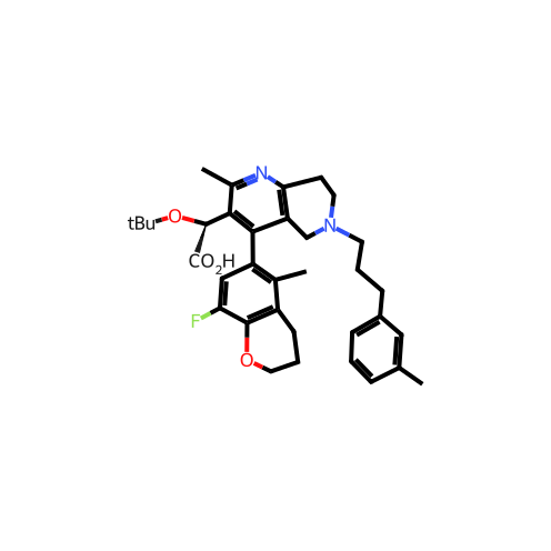 Cc1cccc(CCCN2CCc3nc(C)c([C@H](OC(C)(C)C)C(=O)O)c(-c4cc(F)c5c(c4C)CCCO5)c3C2)c1